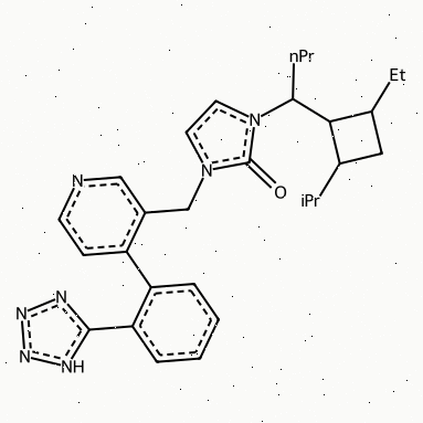 CCCC(C1C(CC)CC1C(C)C)n1ccn(Cc2cnccc2-c2ccccc2-c2nnn[nH]2)c1=O